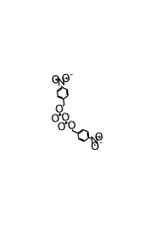 O=C(OCc1ccc([N+](=O)[O-])cc1)OC(=O)OCc1ccc([N+](=O)[O-])cc1